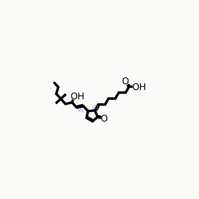 CCCC(C)(C)CC(O)/C=C/C1C=CC(=O)/C1=C\CCCCCC(=O)O